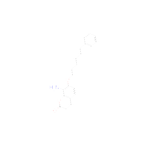 Nc1c(OCCCCCCc2ccccc2)ccc2c1OC(=O)CC2